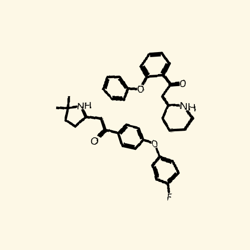 CC1(C)CCC(CC(=O)c2ccc(Oc3ccc(F)cc3)cc2)N1.O=C(CC1CCCCN1)c1ccccc1Oc1ccccc1